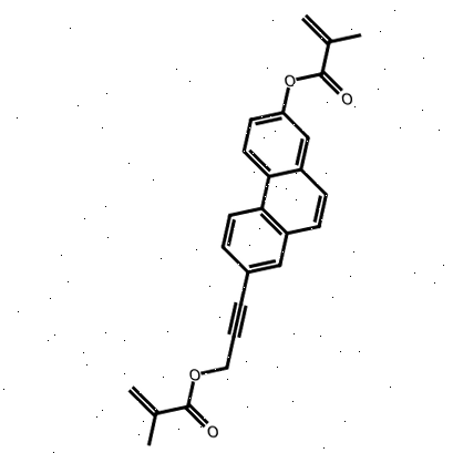 C=C(C)C(=O)OCC#Cc1ccc2c(ccc3cc(OC(=O)C(=C)C)ccc32)c1